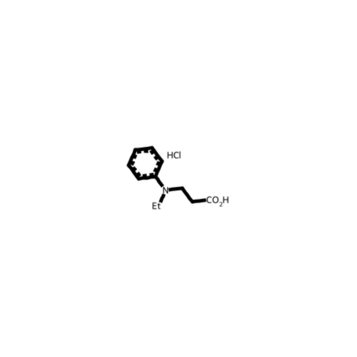 CCN(CCC(=O)O)c1ccccc1.Cl